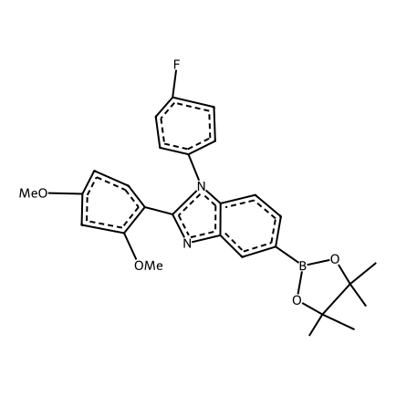 COc1ccc(-c2nc3cc(B4OC(C)(C)C(C)(C)O4)ccc3n2-c2ccc(F)cc2)c(OC)c1